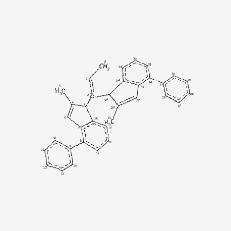 C[CH]=[Zr]([CH]1C(C)=Cc2c(-c3ccccc3)cccc21)[CH]1C(C)=Cc2c(-c3ccccc3)cccc21